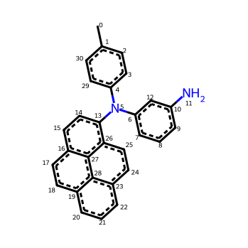 Cc1ccc(N(c2cccc(N)c2)c2ccc3ccc4cccc5ccc2c3c45)cc1